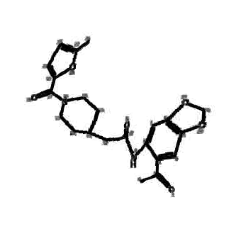 CC(=O)c1cc2c(cc1NC(=O)CC1CCN(C(=O)c3ccc(C)o3)CC1)OCO2